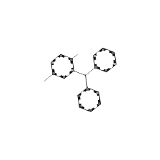 Cc1ccc(O)c(C(c2ccccc2)c2ccccc2)c1